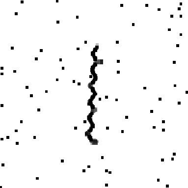 CCCOCCOCCOCCNCI